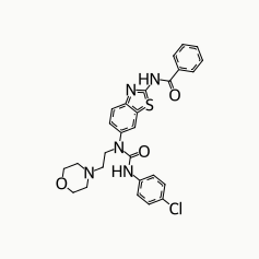 O=C(Nc1nc2ccc(N(CCN3CCOCC3)C(=O)Nc3ccc(Cl)cc3)cc2s1)c1ccccc1